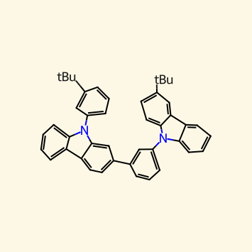 CC(C)(C)c1cccc(-n2c3ccccc3c3ccc(-c4cccc(-n5c6ccccc6c6cc(C(C)(C)C)ccc65)c4)cc32)c1